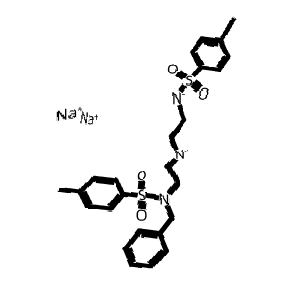 Cc1ccc(S(=O)(=O)[N-]CC[N-]CCN(Cc2ccccc2)S(=O)(=O)c2ccc(C)cc2)cc1.[Na+].[Na+]